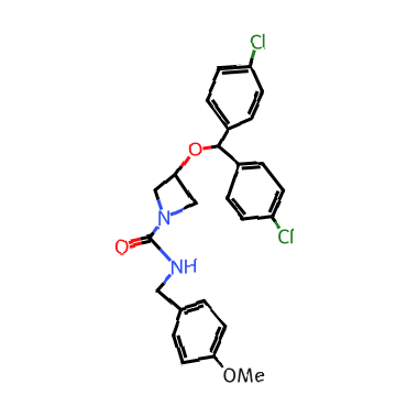 COc1ccc(CNC(=O)N2CC(OC(c3ccc(Cl)cc3)c3ccc(Cl)cc3)C2)cc1